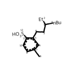 CCCCC(CC)CCc1cc(C)ccc1S(=O)(=O)O